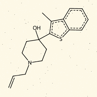 C=CCN1CCC(O)(c2sc3ccccc3c2C)CC1